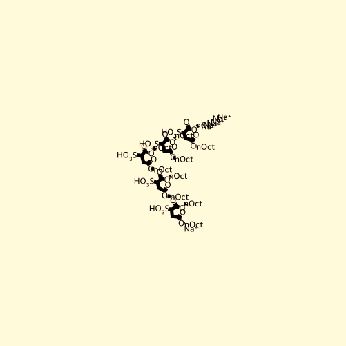 CCCCCCCCOC(=O)CC(C(=O)OCCCCCCCC)S(=O)(=O)O.CCCCCCCCOC(=O)CC(C(=O)OCCCCCCCC)S(=O)(=O)O.CCCCCCCCOC(=O)CC(C(=O)OCCCCCCCC)S(=O)(=O)O.CCCCCCCCOC(=O)CC(C(=O)OCCCCCCCC)S(=O)(=O)O.CCCCCCCCOC(=O)CC(C(=O)OCCCCCCCC)S(=O)(=O)O.[Na+].[Na+].[Na+].[Na+].[Na+].[Na+].[Na+]